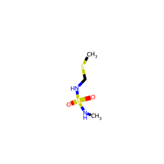 CNS(=O)(=O)NCSC